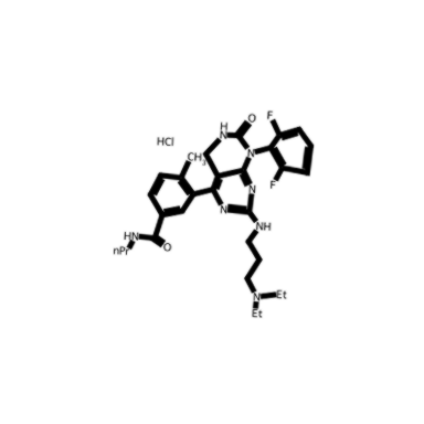 CCCNC(=O)c1ccc(C)c(-c2nc(NCCCN(CC)CC)nc3c2CNC(=O)N3c2c(F)cccc2F)c1.Cl